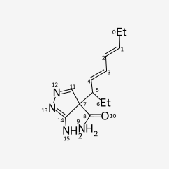 CC/C=C/C=C/C(CC)C1(C(N)=O)C=NN=C1N